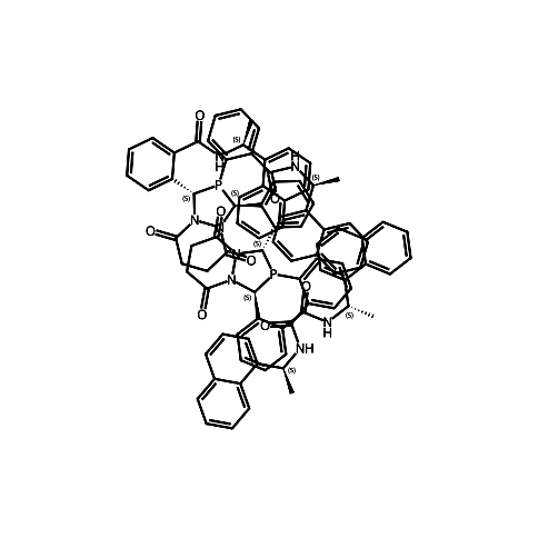 C[C@H](NC(=O)c1ccccc1[C@H]1N2C(=O)CCC(=O)N2[C@H](c2ccccc2[C@H]2N3C(=O)CCC(=O)N3[C@H](c3ccccc3C(=O)N[C@@H](C)c3cccc4ccccc34)P2c2ccccc2C(=O)N[C@@H](C)c2cccc3ccccc23)P1c1ccccc1C(=O)N[C@@H](C)c1cccc2ccccc12)c1cccc2ccccc12